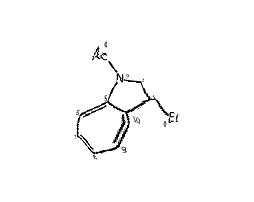 CCC1CN(C(C)=O)c2ccccc21